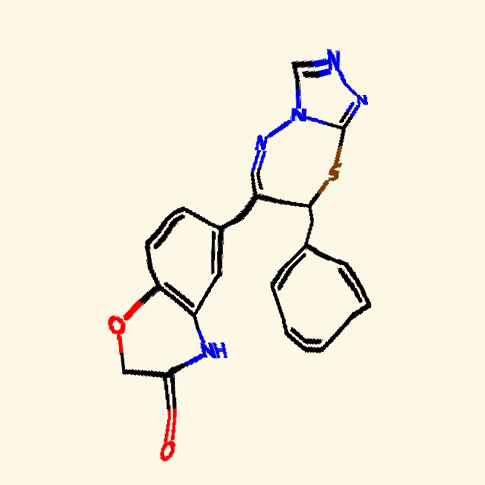 O=C1COc2ccc(C3=Nn4cnnc4SC3c3ccccc3)cc2N1